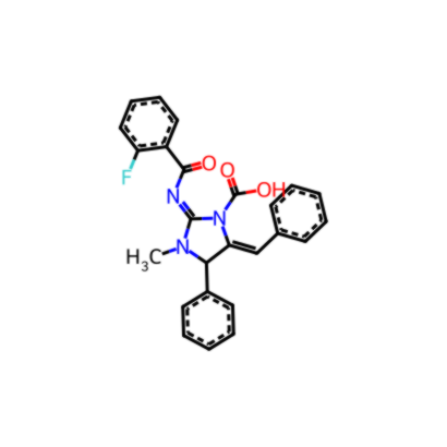 CN1/C(=N/C(=O)c2ccccc2F)N(C(=O)O)/C(=C\c2ccccc2)C1c1ccccc1